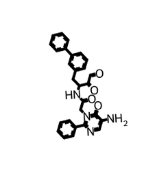 Nc1cnc(-c2ccccc2)n(CC(=O)NC(Cc2cccc(-c3ccccc3)c2)C(=O)C=O)c1=O